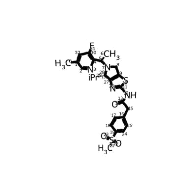 Cc1cnc([C@@H](C)N2Cc3sc(NC(=O)Cc4ccc(S(C)(=O)=O)cc4)nc3[C@@H]2C(C)C)c(F)c1